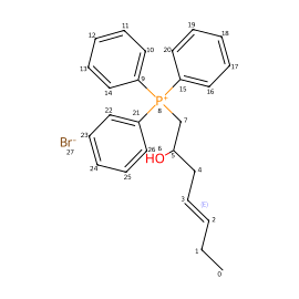 CC/C=C/CC(O)C[P+](c1ccccc1)(c1ccccc1)c1ccccc1.[Br-]